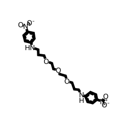 O=[N+]([O-])c1ccc(NCCCOCCOCCOCCCNc2ccc([N+](=O)[O-])cc2)cc1